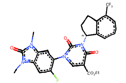 CCOC(=O)c1cn(-c2cc3c(cc2F)n(C)c(=O)n3C)c(=O)n([C@@H]2CCc3c2cccc3C(F)(F)F)c1=O